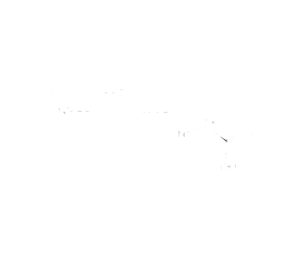 O=C(O)[C@@H]1CSC(c2ccc([N+](=O)[O-])cc2)=N1